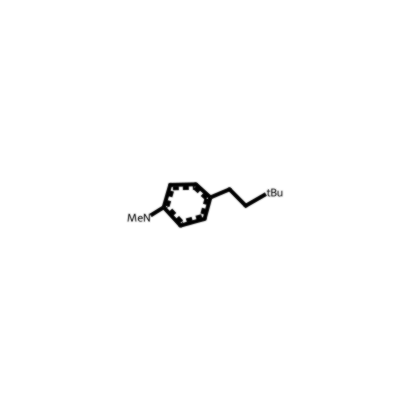 CNc1ccc(CCC(C)(C)C)cc1